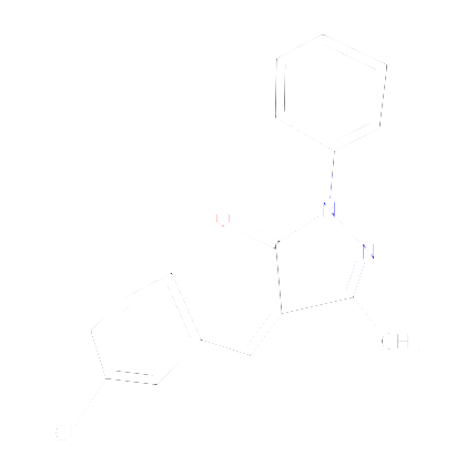 CC1=NN(c2ccccc2)C(=O)C1=Cc1cccc(Cl)c1